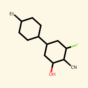 CCC1CCC(C2CC(O)C(C#N)C(F)C2)CC1